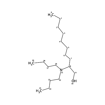 CCCCCCCCC(CO)N(CCCC)CCCC